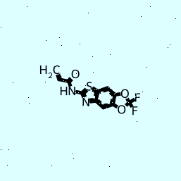 C=CC(=O)Nc1nc2cc3c(cc2s1)OC(F)(F)O3